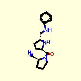 N#C[C@@H]1CCCN1C(=O)[C@H]1CC[C@H](CNc2ccccc2)N1